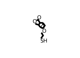 O=C1OCC2C3OC(CC3OCCCS)C12